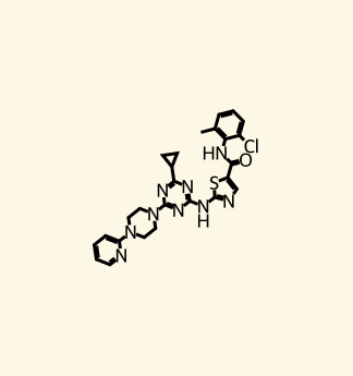 Cc1cccc(Cl)c1NC(=O)c1cnc(Nc2nc(C3CC3)nc(N3CCN(c4ccccn4)CC3)n2)s1